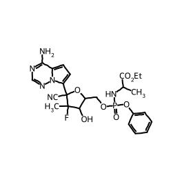 CCOC(=O)C(C)NP(=O)(OCC1OC(C#N)(c2ccc3c(N)ncnn23)C(C)(F)C1O)Oc1ccccc1